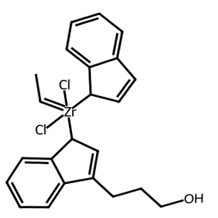 C[CH]=[Zr]([Cl])([Cl])([CH]1C=Cc2ccccc21)[CH]1C=C(CCCO)c2ccccc21